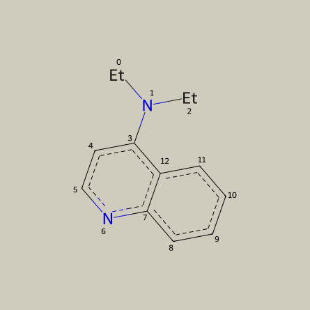 CCN(CC)c1ccnc2ccccc12